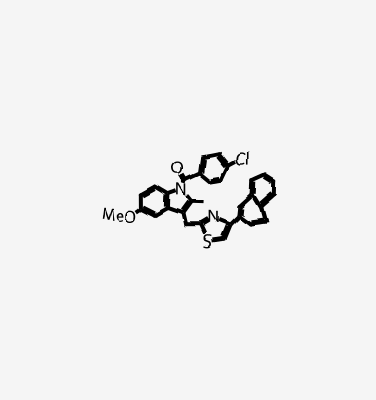 COc1ccc2c(c1)c(Cc1nc(-c3ccc4ccccc4c3)cs1)c(C)n2C(=O)c1ccc(Cl)cc1